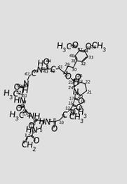 C=CC(=O)NC[C@@H]1NC(=O)CCC(C)(C)C(=O)C(=O)N2CCCC[C@H]2C(=O)O[C@H](CCc2ccc(OC)c(OC)c2)CCC(=O)NCCNC(=O)[C@H](C)NC(=O)[C@H](C)NC1=O